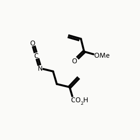 C=C(CCN=C=O)C(=O)O.C=CC(=O)OC